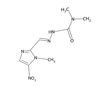 CN(C)C(=O)NN=Cc1ncc([N+](=O)[O-])n1C